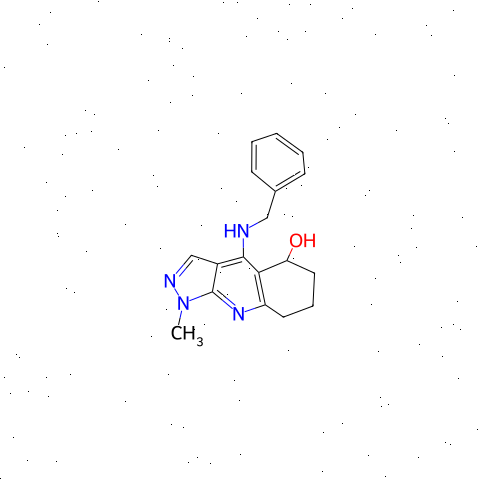 Cn1ncc2c(NCc3ccccc3)c3c(nc21)CCCC3O